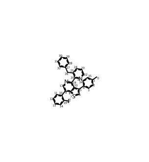 Cc1ccc(-c2csc3c(-c4ccccc4F)cnc(-c4ncccc4Cc4ccccc4)c23)cc1